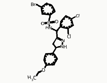 CCOc1ccc(C2CC(C(NS(=O)(=O)c3cccc(Br)c3)c3ccc(Cl)cc3Cl)=NN2)cc1